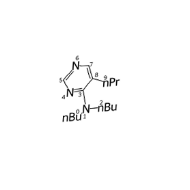 CCCCN(CCCC)c1ncncc1CCC